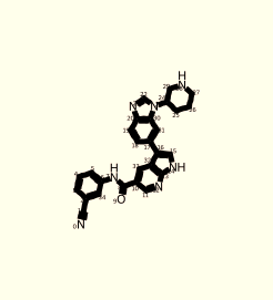 N#Cc1cccc(NC(=O)c2cnc3[nH]cc(-c4ccc5ncn(C6CCCNC6)c5c4)c3c2)c1